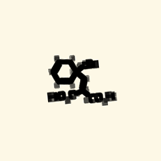 CCOC(=O)C(=CC1(C(C)(C)C)C=CC=CC1)C(=O)OCC